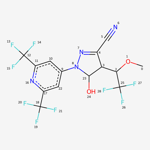 COC(C1C(C#N)=NN(c2cc(C(F)(F)F)nc(C(F)(F)F)c2)C1O)C(F)(F)F